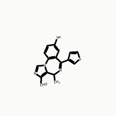 CC1N=C(c2ccsc2)c2cc(S)ccc2-n2cnc(C=O)c21